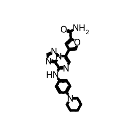 NC(=O)c1cc(-c2cnc(Nc3ccc(N4CCCCC4)cc3)c3ncnn23)co1